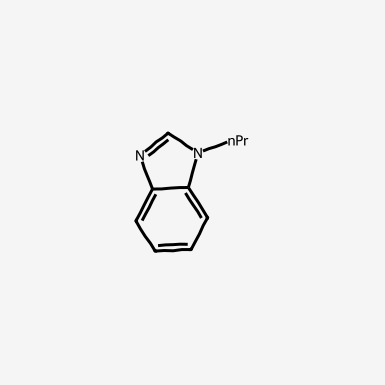 [CH2]CCn1cnc2ccccc21